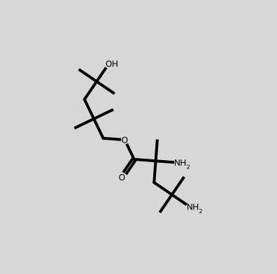 CC(C)(N)CC(C)(N)C(=O)OCC(C)(C)CC(C)(C)O